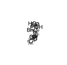 O=P(O)(O)C(F)(F)c1ccc(/C=N\NS(=O)(=O)c2ccccc2)cc1Br